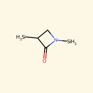 O=C1C([SiH3])CN1[SiH3]